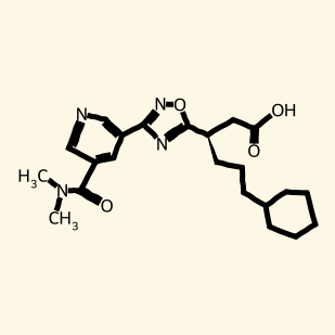 CN(C)C(=O)c1cncc(-c2noc([C@H](CCCC3CCCCC3)CC(=O)O)n2)c1